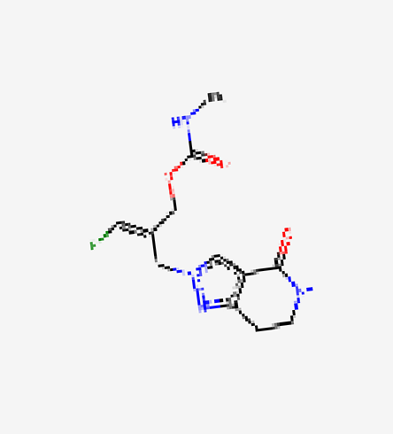 CC(C)(C)NC(=O)OC/C(=C/F)Cn1cc2c(n1)CCNC2=O